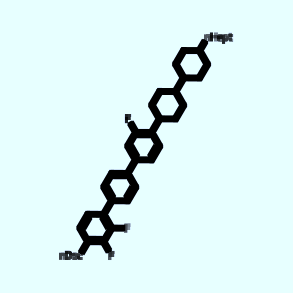 CCCCCCCCCCc1ccc(-c2ccc(-c3ccc(C4CCC(C5CCC(CCCCCCC)CC5)CC4)c(F)c3)cc2)c(F)c1F